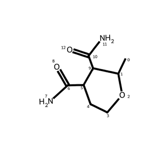 CC1OCCC(C(N)=O)[C]1C(N)=O